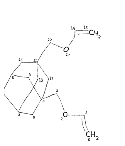 C=COCC12CC3CC(C1)CC(COC=C)(C3)C2